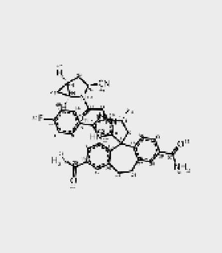 C[C@H](CC1(c2nnc(-c3ccc(F)cc3)[nH]2)c2ccc(C(N)=O)cc2CCc2cc(C(N)=O)ccc21)NCC(=O)N1[C@H](C#N)C[C@@H]2C[C@@H]21